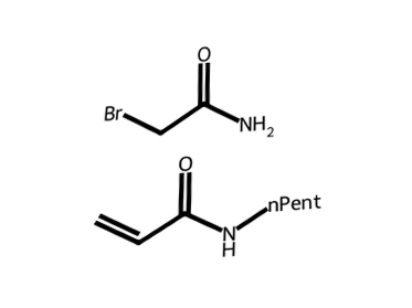 C=CC(=O)NCCCCC.NC(=O)CBr